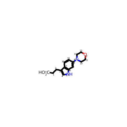 O=C(O)CCc1c[nH]c2cc(N3CCOCC3)ccc12